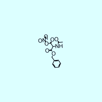 CC(=O)NC(C(=O)OCc1ccccc1)C(=O)O[N+](=O)[O-]